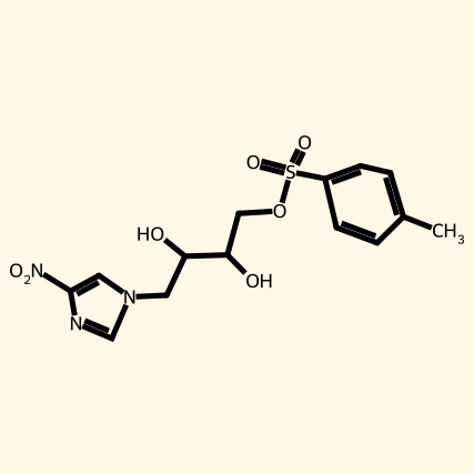 Cc1ccc(S(=O)(=O)OCC(O)C(O)Cn2cnc([N+](=O)[O-])c2)cc1